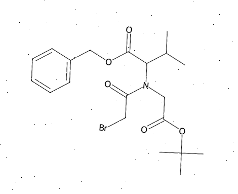 CC(C)C(C(=O)OCc1ccccc1)N(CC(=O)OC(C)(C)C)C(=O)CBr